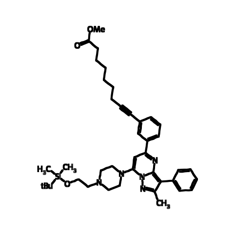 COC(=O)CCCCCCC#Cc1cccc(-c2cc(N3CCN(CCO[Si](C)(C)C(C)(C)C)CC3)n3nc(C)c(-c4ccccc4)c3n2)c1